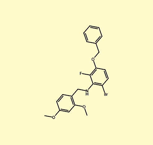 COc1ccc(CNc2c(Br)ccc(OCc3ccccc3)c2F)c(OC)c1